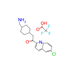 NCC1CCC(CC(=O)c2ccc3cc(Cl)ccc3n2)CC1.O=C(O)C(F)(F)F